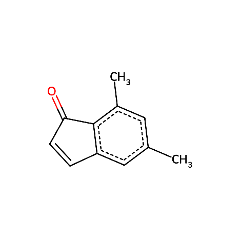 Cc1cc(C)c2c(c1)C=CC2=O